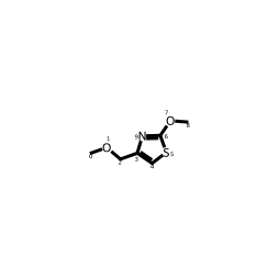 COCc1csc(OC)n1